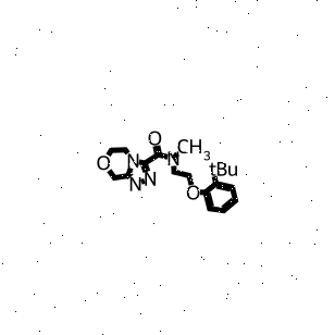 CN(CCOc1ccccc1C(C)(C)C)C(=O)c1nnc2n1CCOC2